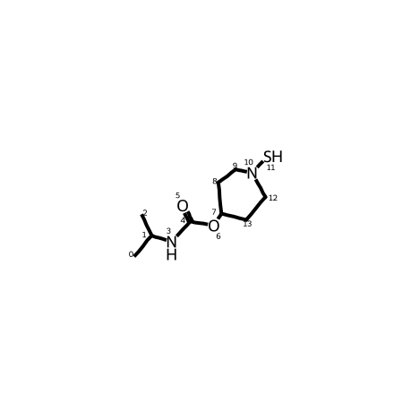 CC(C)NC(=O)OC1CCN(S)CC1